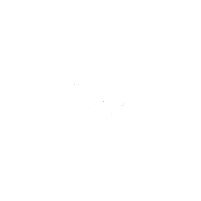 CCCCCC(=O)OC(=O)CCCC.[LiH].[LiH]